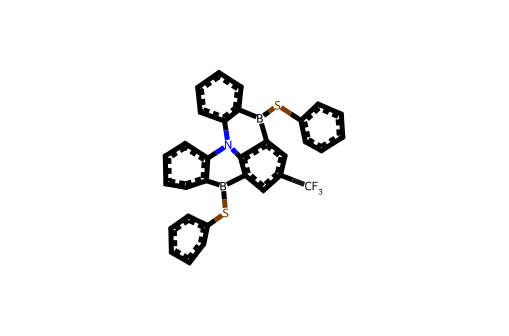 FC(F)(F)c1cc2c3c(c1)B(Sc1ccccc1)c1ccccc1N3c1ccccc1B2Sc1ccccc1